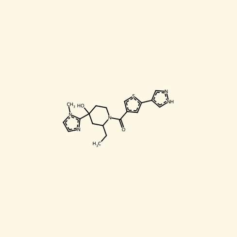 CCC1CC(O)(c2nccn2C)CCN1C(=O)c1csc(-c2cn[nH]c2)c1